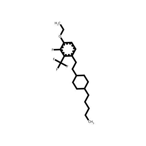 CCCCCC1CCC(CCc2ccc(OCC)c(F)c2C(F)(F)F)CC1